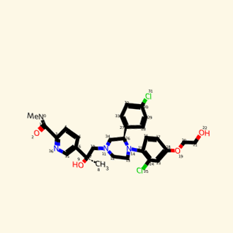 CNC(=O)c1ccc([C@](C)(O)CN2CCN(c3ccc(OCCO)cc3Cl)[C@H](c3ccc(Cl)cc3)C2)cn1